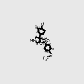 O=S(=O)(NC1(c2ccc(Cl)c(F)c2)CCNC1)c1ccc(OC(F)(F)F)cc1